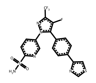 NS(=O)(=O)c1ccc(-n2nc(C(F)(F)F)c(F)c2-c2ccc(-c3cscn3)cc2)cn1